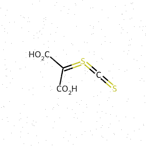 O=C(O)C(=S=C=S)C(=O)O